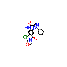 O=C(c1cc2c(cc1Cl)[nH]c(=O)c1cnc(C3CCCCC3)n12)N1CCOCC1